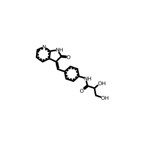 O=C1Nc2ncccc2C1=Cc1ccc(NC(=O)C(O)CO)cc1